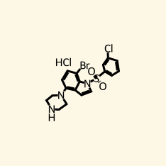 Cl.O=S(=O)(c1cccc(Cl)c1)n1ccc2c(N3CCNCC3)ccc(Br)c21